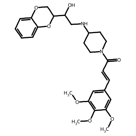 COc1cc(C=CC(=O)N2CCC(NCC(O)C3COc4ccccc4O3)CC2)cc(OC)c1OC